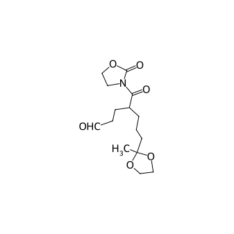 CC1(CCCC(CCC=O)C(=O)N2CCOC2=O)OCCO1